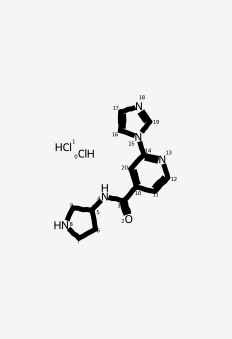 Cl.Cl.O=C(NC1CCNC1)c1ccnc(-n2ccnc2)c1